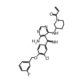 C=CC(=O)N1CCCC(Nc2ncnc(N)c2C(=N)c2ccc(OCc3cccc(F)c3)c(Cl)c2)C1